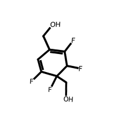 OCC1=C(F)C(F)C(F)(CO)C(F)=C1